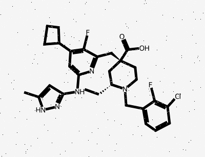 CC[C@@H]1C[C@](Cc2nc(Nc3cc(C)[nH]n3)cc(C3CCC3)c2F)(C(=O)O)CCN1Cc1cccc(Cl)c1F